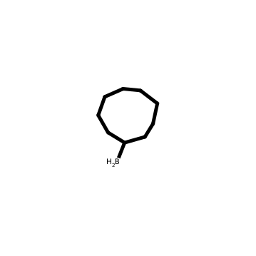 BC1CCCCCCCC1